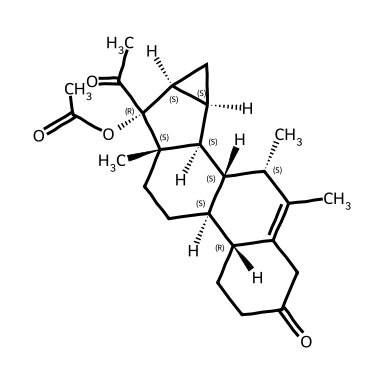 CC(=O)O[C@]1(C(C)=O)[C@H]2C[C@H]2[C@H]2[C@H]3[C@H](CC[C@@]21C)[C@H]1CCC(=O)CC1=C(C)[C@H]3C